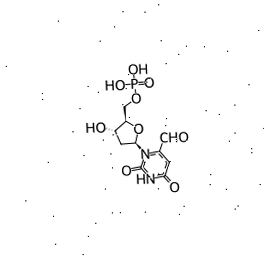 O=Cc1cc(=O)[nH]c(=O)n1[C@H]1C[C@H](O)[C@@H](COP(=O)(O)O)O1